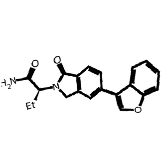 CC[C@@H](C(N)=O)N1Cc2cc(-c3coc4ccccc34)ccc2C1=O